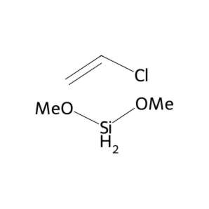 C=CCl.CO[SiH2]OC